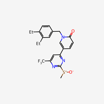 CCc1ccc(Cn2cc(-c3cc(C(F)(F)F)nc([S+](C)[O-])n3)ccc2=O)cc1CC